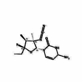 CC[C@@]1(F)O[C@@H](N2C=CC(N)NC2=O)[C@](C)(N=[N+]=[N-])[C@@H]1C